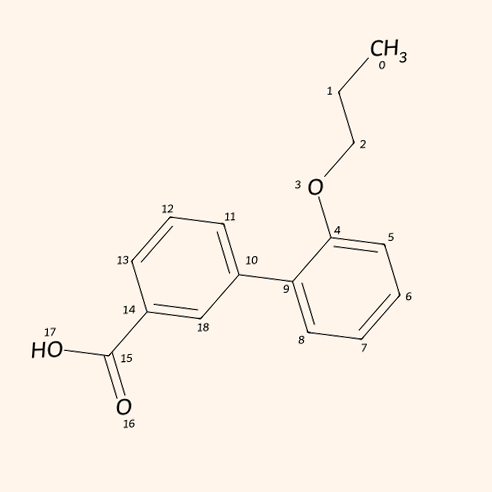 CCCOc1ccccc1-c1cccc(C(=O)O)c1